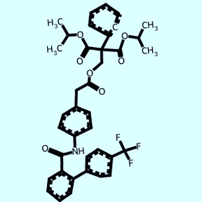 CC(C)OC(=O)C(COC(=O)Cc1ccc(NC(=O)c2ccccc2-c2ccc(C(F)(F)F)cc2)cc1)(C(=O)OC(C)C)c1ccccc1